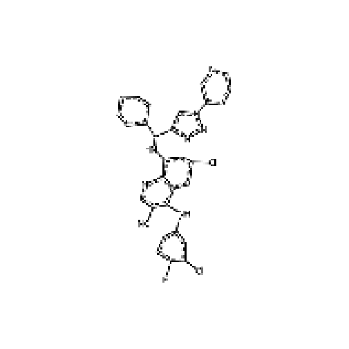 N#Cc1cnc2c(N[C@@H](c3ccccc3)c3cn(-c4cccnc4)nn3)cc(Cl)cc2c1Nc1ccc(F)c(Cl)c1